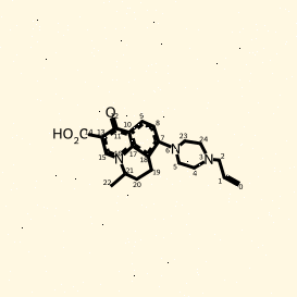 C=CCN1CCN(c2ccc3c(=O)c(C(=O)O)cn4c3c2CCC4C)CC1